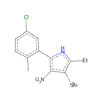 CCc1[nH]c(-c2cc(Cl)ccc2C)c([N+](=O)[O-])c1C(C)(C)C